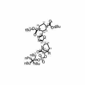 CCCCN(OS(=O)(=O)ON1C(=O)N2C[C@@H]1CC[C@H]2c1nnc([C@@H]2CN(C(=O)OC(C)(C)C)CCN2C(=O)OC(C)(C)C)o1)C(CCC)(CCCC)CCCC